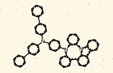 c1ccc(-c2ccc(N(c3ccc(-c4ccccc4)cc3)c3ccc(-n4c5ccccc5c5cccc6c7ccccc7n(c7ccccc74)c56)cc3)cc2)cc1